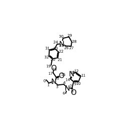 CCN(CCN(C)C(=O)c1cccnc1)C(=O)COCc1ccc(CN2CCCCC2)cc1